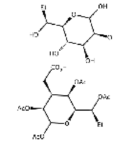 CC[C@H](O)[C@H]1OC(O)[C@@H](O)[C@@H](O)[C@@H]1O.CC[C@H](OC(C)=O)[C@H]1OC(OC(C)=O)[C@@H](OC(C)=O)[C@@H](CC(=O)O)[C@H]1OC(C)=O